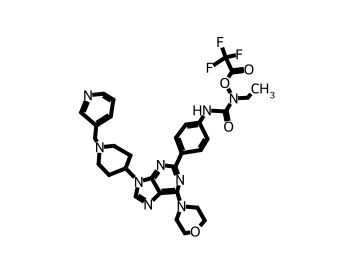 CCN(OC(=O)C(F)(F)F)C(=O)Nc1ccc(-c2nc(N3CCOCC3)c3ncn(C4CCN(Cc5cccnc5)CC4)c3n2)cc1